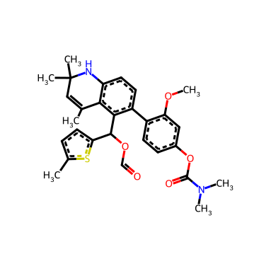 COc1cc(OC(=O)N(C)C)ccc1-c1ccc2c(c1C(OC=O)c1ccc(C)s1)C(C)=CC(C)(C)N2